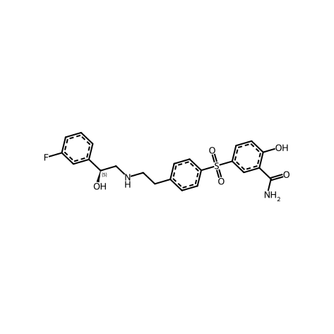 NC(=O)c1cc(S(=O)(=O)c2ccc(CCNC[C@@H](O)c3cccc(F)c3)cc2)ccc1O